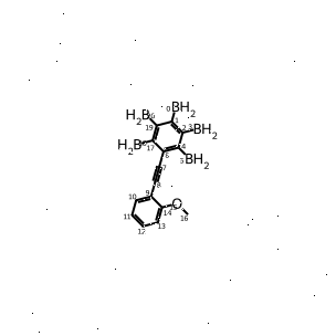 Bc1c(B)c(B)c(C#Cc2ccccc2OC)c(B)c1B